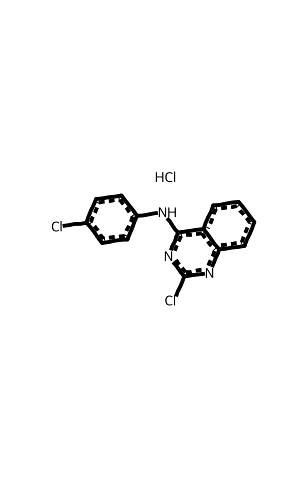 Cl.Clc1ccc(Nc2nc(Cl)nc3ccccc23)cc1